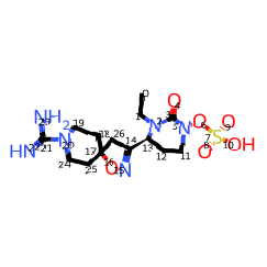 CCN1C(=O)N(OS(=O)(=O)O)CC[C@H]1C1=NOC2(CCN(C(=N)N)CC2)C1